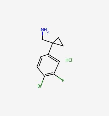 Cl.NCC1(c2ccc(Br)c(F)c2)CC1